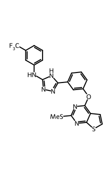 CSc1nc(Oc2cccc(-c3nnc(Nc4cccc(C(F)(F)F)c4)[nH]3)c2)c2ccsc2n1